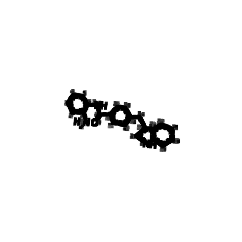 Nc1ccccc1NC(=O)c1ccc(Cc2c[nH]c3ccccc23)cc1